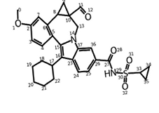 COc1ccc2c(c1)C1CC1(C=O)Cn1c-2c(C2CCCCC2)c2ccc(C(=O)NS(=O)(=O)C3CC3)cc21